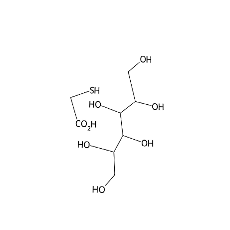 O=C(O)CS.OCC(O)C(O)C(O)C(O)CO